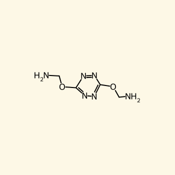 NCOc1nnc(OCN)nn1